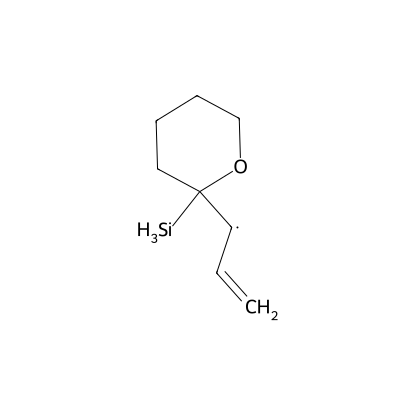 C=C[CH]C1([SiH3])CCCCO1